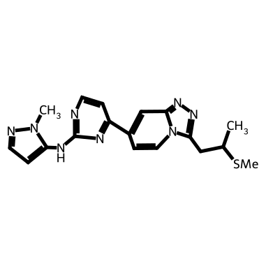 CSC(C)Cc1nnc2cc(-c3ccnc(Nc4ccnn4C)n3)ccn12